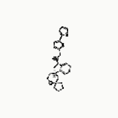 c1ccc([C@]2(CCNCc3ccc(-c4cccs4)s3)CCOC3(CCCC3)C2)nc1